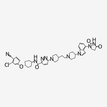 N#Cc1ccc(O[C@H]2CC[C@H](NC(=O)c3ccc(N4CCC(CCN5CCC(n6ccc7c(N8CCC(=O)NC8=O)cccc76)CC5)CC4)nn3)CC2)cc1Cl